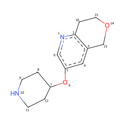 c1nc2c(cc1OC1CCNCC1)COCC2